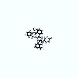 CN1CCC(N(Cc2ccccc2Cl)C(=O)NC(COCc2ccccc2)c2cccc(Cl)c2Cl)CC1